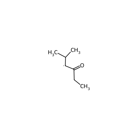 CCC(=O)[CH]C(C)C